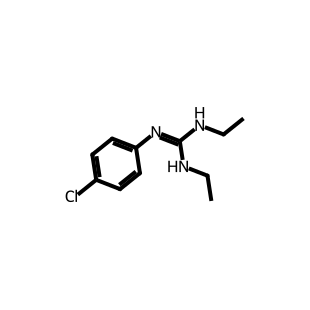 CCNC(=Nc1ccc(Cl)cc1)NCC